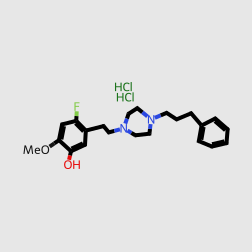 COc1cc(F)c(CCN2CCN(CCCc3ccccc3)CC2)cc1O.Cl.Cl